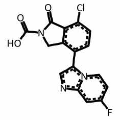 O=C(O)N1Cc2c(-c3cnc4cc(F)ccn34)ccc(Cl)c2C1=O